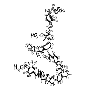 CN(C)c1ccc(CNCCOc2ccc(-c3ccc4c(c3)N(C(=O)Nc3nc5ccc(C6CCN(C(=O)Nc7nc8ccccc8s7)c7cc(-c8ccc(OCCOc9ccc(NC(=O)OC(C)(C)C)cc9)c(C(=O)O)n8)ccc76)cc5s3)CCC4)nc2C(=O)O)cc1